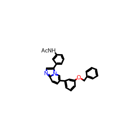 CC(=O)Nc1cccc(-c2cnc3ccc(-c4cccc(OCc5ccccc5)c4)cn23)c1